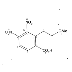 COCCc1c(C(=O)O)ccc([N+](=O)[O-])c1[N+](=O)[O-]